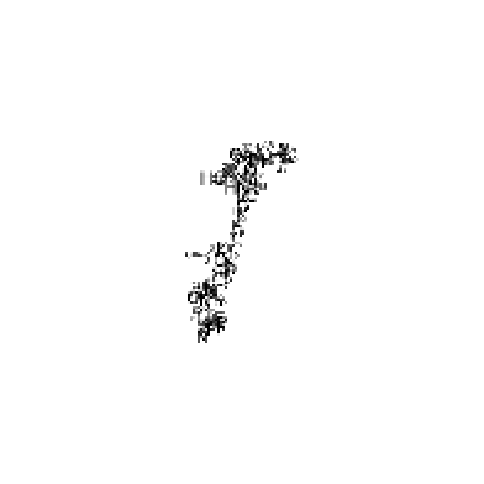 C#CCCC(=O)OC(CCOCCCOCC(=O)N[C@H](C(=O)N1C[C@H](O)CC1C(=O)N[C@@H](C)c1ccc(-c2scnc2C)cc1)C(C)(C)C)CCOc1ccc(N2C(=S)N(c3ccc(C#N)c(C(F)(F)F)c3)C(=O)C2(C)C)cc1